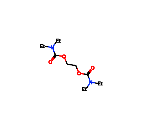 CCN(CC)C(=O)OCCOC(=O)N(CC)CC